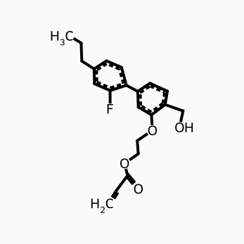 C=CC(=O)OCCOc1cc(-c2ccc(CCC)cc2F)ccc1CO